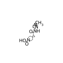 Cn1ccc(NC(=O)[C@H]2CC23CCN(C(=O)O)CC3)n1